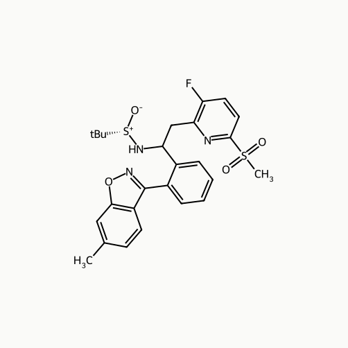 Cc1ccc2c(-c3ccccc3C(Cc3nc(S(C)(=O)=O)ccc3F)N[S@@+]([O-])C(C)(C)C)noc2c1